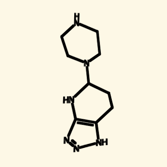 C1CN(C2CCc3[nH]nnc3N2)CCN1